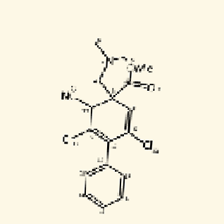 COC(=O)C1(CN(C)C)C=C(Cl)C(c2ccccc2)=C(Cl)C1C#N